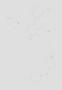 COC(=O)OC1=C(C)NC(C)=C(OC(=O)OCCCN2CCC(C(=O)c3ccc(F)cc3)CC2)C1c1cccc([N+](=O)[O-])c1